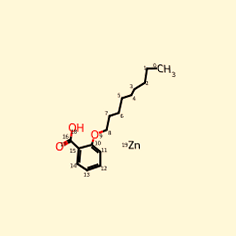 CCCCCCCCCOc1ccccc1C(=O)O.[Zn]